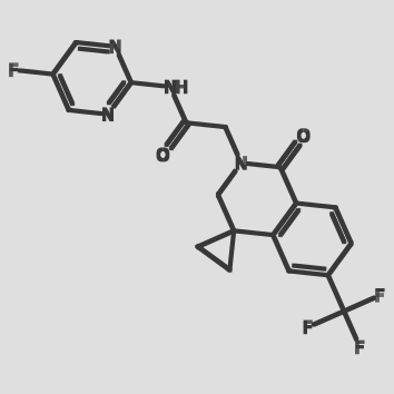 O=C(CN1CC2(CC2)c2cc(C(F)(F)F)ccc2C1=O)Nc1ncc(F)cn1